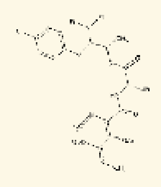 C=N/C(C(=O)N[C@H](C(=O)O[C@@H](C)[C@H](Oc1ccc(C(F)(F)F)cc1)C(CC)CC)C(C)C)=C(OC(C)=O)\C(=C/C)OC